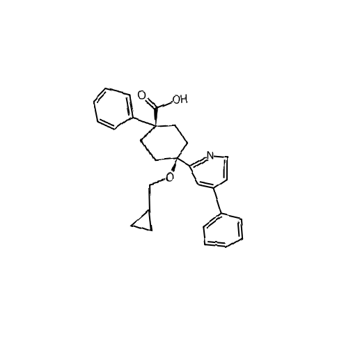 O=C(O)[C@]1(c2ccccc2)CC[C@@](OCC2CC2)(c2cc(-c3ccccc3)ccn2)CC1